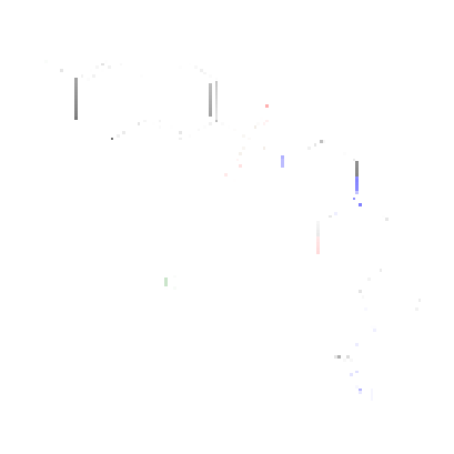 CC(=N)N1CCC(CN2CCN(S(=O)(=O)c3ccc4cc(Cl)ccc4c3)CC2=O)C1.Cl